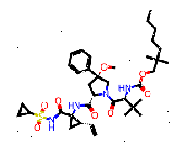 C=C[C@@H]1C[C@]1(NC(=O)[C@@H]1C[C@@](OC)(c2ccccc2)CN1C(=O)[C@@H](NC(=O)OCC(C)(C)CCCCC)C(C)(C)C)C(=O)NS(=O)(=O)C1CC1